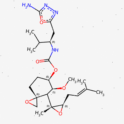 CO[C@H]1C([C@@]2(C)O[C@@H]2CC=C(C)C)[C@]2(CC[C@H]1OC(=O)N[C@H](Cc1nnc(N)o1)C(C)C)CO2